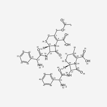 CC(=O)OCC1=C(C(=O)O)N2C(=O)C(NC(=O)C(N)c3ccccc3)[C@@H]2SC1.CC1=C(C(=O)O)N2C(=O)C(NC(=O)C(N)c3ccccc3)[C@@H]2SC1